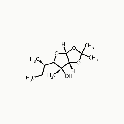 CC[C@@H](C)[C@H]1O[C@@H]2OC(C)(C)O[C@@H]2[C@]1(C)O